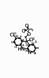 CS(=O)(=O)OCC1(C(F)(F)F)c2cc(Cl)ccc2Nc2ncccc21